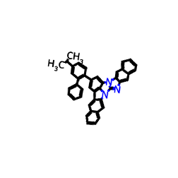 CC(C)c1ccc(-c2cc3c4cc5ccccc5cc4n4c3c(c2)n2c3cc5ccccc5cc3nc24)c(-c2ccccc2)c1